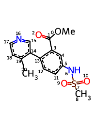 COC(=O)c1cc(NS(C)(=O)=O)ccc1-c1cnccc1C